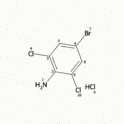 Cl.Nc1c(Cl)cc(Br)cc1Cl